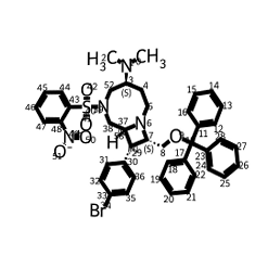 CN(C)[C@H]1CCN2[C@H](COC(c3ccccc3)(c3ccccc3)c3ccccc3)[C@H](c3ccc(Br)cc3)[C@@H]2CN(S(=O)(=O)c2ccccc2[N+](=O)[O-])C1